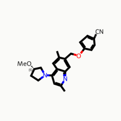 CO[C@H]1CCN(c2cc(C)nc3cc(COc4ccc(C#N)cc4)c(C)cc23)C1